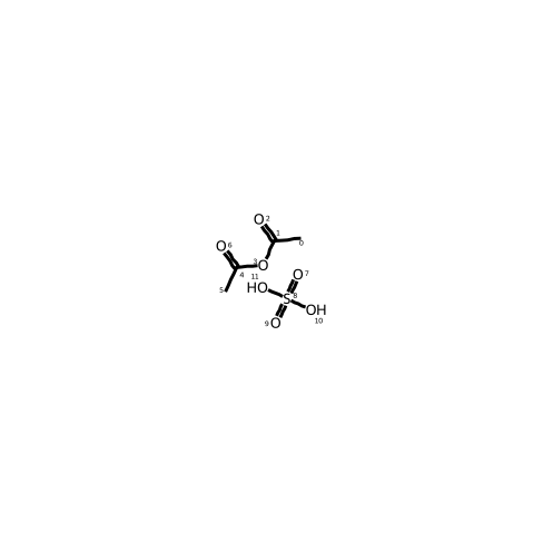 CC(=O)OC(C)=O.O=S(=O)(O)O